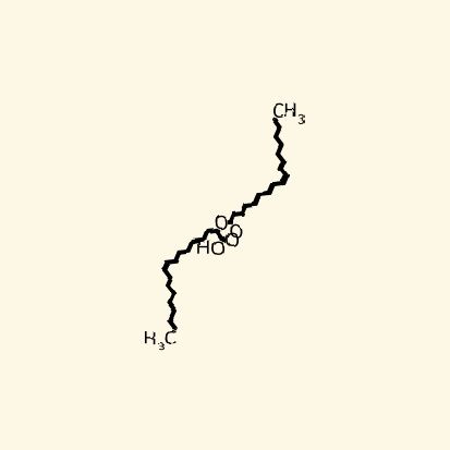 CCCCCCCC/C=C\CCCCCCCC(=O)OC(CCCCCC/C=C\CCCCCCCC)C(=O)O